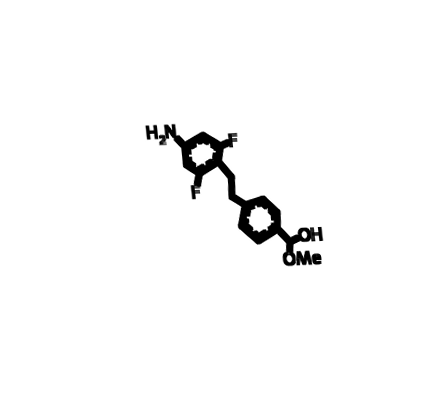 COC(O)c1ccc(CCc2c(F)cc(N)cc2F)cc1